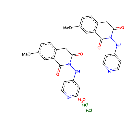 COc1ccc2c(c1)C(=O)N(Nc1ccncc1)C(=O)C2.COc1ccc2c(c1)C(=O)N(Nc1ccncc1)C(=O)C2.Cl.Cl.O